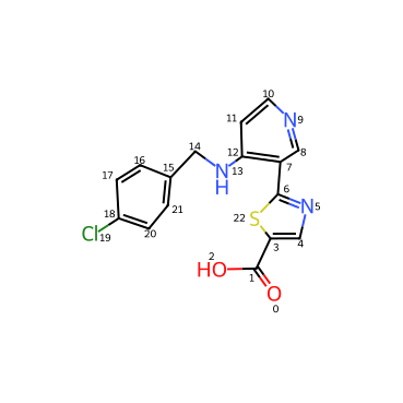 O=C(O)c1cnc(-c2cnccc2NCc2ccc(Cl)cc2)s1